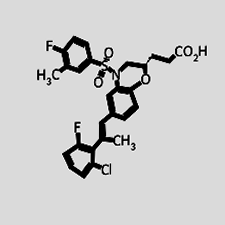 C/C(=C\c1ccc2c(c1)N(S(=O)(=O)c1ccc(F)c(C)c1)C[C@H](CCC(=O)O)O2)c1c(F)cccc1Cl